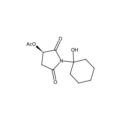 CC(=O)O[C@@H]1CC(=O)N(C2(O)CCCCC2)C1=O